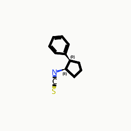 S=C=N[C@@H]1CCC[C@@H]1c1ccccc1